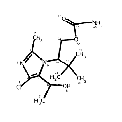 Cc1nc(Cl)c(C(C)O)n1C(COC(N)=O)C(C)(C)C